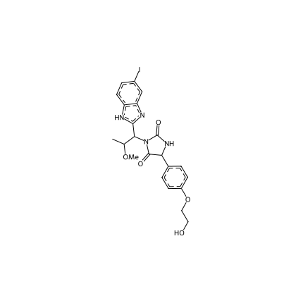 COC(C)C(c1nc2cc(I)ccc2[nH]1)N1C(=O)NC(c2ccc(OCCO)cc2)C1=O